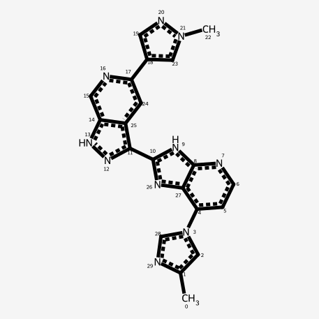 Cc1cn(-c2ccnc3[nH]c(-c4n[nH]c5cnc(-c6cnn(C)c6)cc45)nc23)cn1